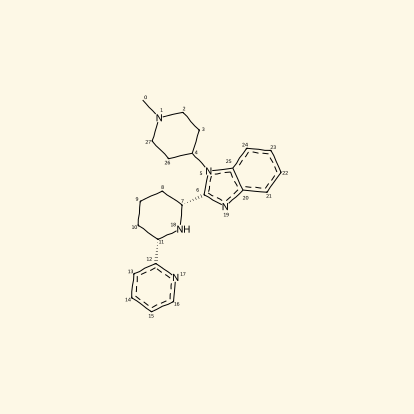 CN1CCC(n2c([C@H]3CCC[C@@H](c4ccccn4)N3)nc3ccccc32)CC1